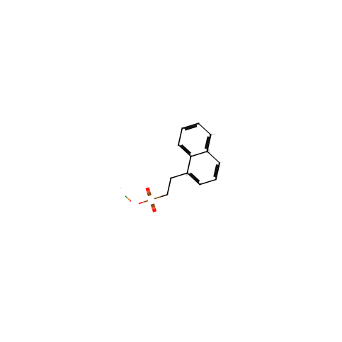 O=S(=O)(CCc1cccc2ccccc12)OF